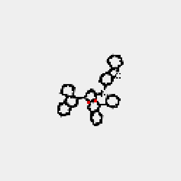 c1ccc(N(c2ccc(-c3cc4ccccc4c4ccccc34)cc2)c2ccc3c(c2)oc2ccccc23)c(-c2cccc3ccccc23)c1